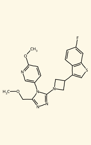 COCc1nnc(N2CC(c3csc4cc(F)ccc34)C2)n1-c1ccc(OC)nc1